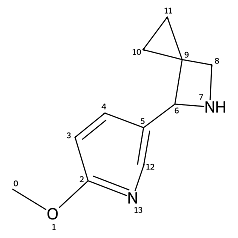 COc1ccc(C2NCC23CC3)cn1